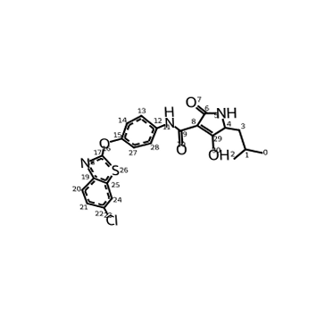 CC(C)CC1NC(=O)C(C(=O)Nc2ccc(Oc3nc4ccc(Cl)cc4s3)cc2)=C1O